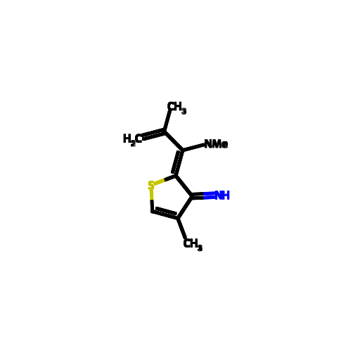 C=C(C)/C(NC)=C1\SC=C(C)C1=N